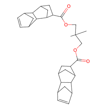 CC(C)(COC(=O)C1CC2CC1C1C3C=CC(C3)C21)COC(=O)C1CC2CC1C1C3C=CC(C3)C21